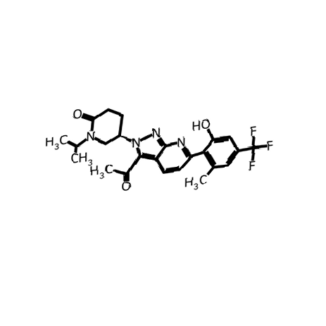 CC(=O)c1c2ccc(-c3c(C)cc(C(F)(F)F)cc3O)nc2nn1[C@@H]1CCC(=O)N(C(C)C)C1